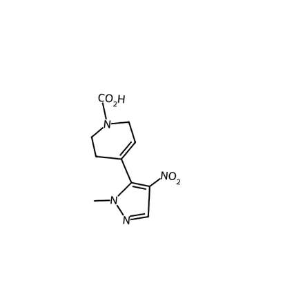 Cn1ncc([N+](=O)[O-])c1C1=CCN(C(=O)O)CC1